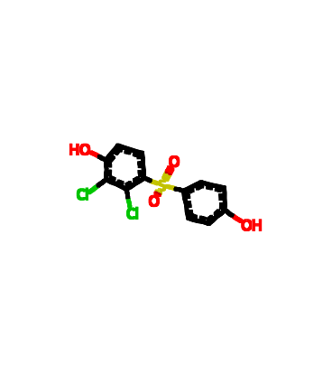 O=S(=O)(c1ccc(O)cc1)c1ccc(O)c(Cl)c1Cl